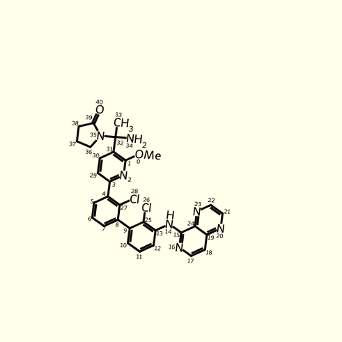 COc1nc(-c2cccc(-c3cccc(Nc4nccc5nccnc45)c3Cl)c2Cl)ccc1C(C)(N)N1CCCC1=O